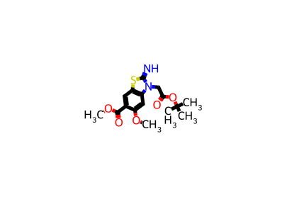 COC(=O)c1cc2sc(=N)n(CC(=O)OC(C)(C)C)c2cc1OC